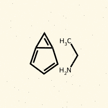 CCN.c1cc2cc-2c1